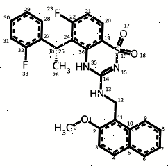 COc1ccc2ccccc2c1CNC1=NS(=O)(=O)c2ccc(F)c([C@H](C)c3ccccc3F)c2N1